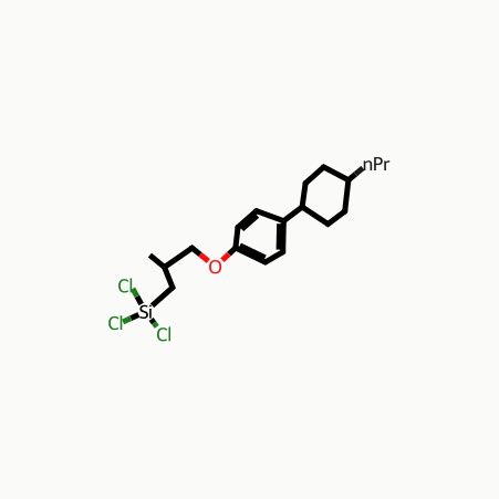 CCCC1CCC(c2ccc(OCC(C)C[Si](Cl)(Cl)Cl)cc2)CC1